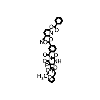 CCOC(=O)C1(F)C(=O)N(C(=O)c2cccc(C(=O)Oc3nc(OC(=O)c4ccccc4)ccc3C#N)c2)C(=O)NC1ON=Cc1ccco1